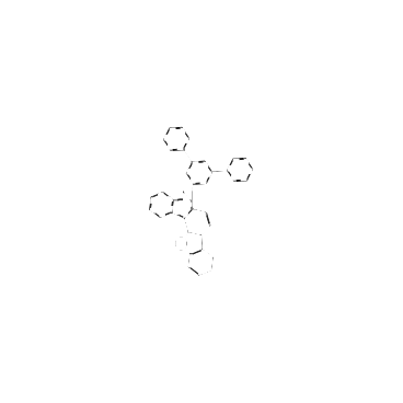 C1=CC2=C(CC1)C1C=Cc3c(c4ccccc4n3-c3cc(-c4ccccc4)cc(-c4ccccc4)c3)C1O2